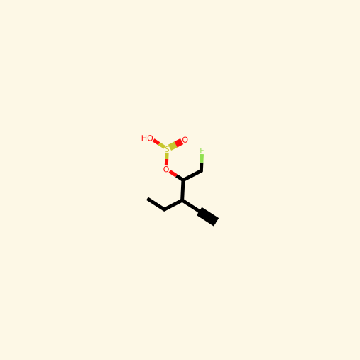 C#CC(CC)C(CF)OS(=O)O